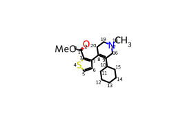 COC(=O)c1sccc1C1=C(C2CCCCC2)CN(C)CC1